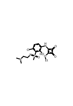 CCOc1c(Nc2ccc(Cl)c(S(C)(=O)=NCCN(C)C)c2O)c(=O)c1=O